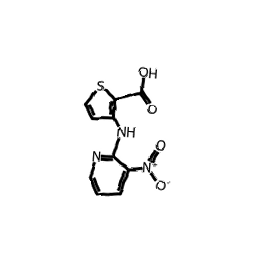 O=C(O)c1sccc1Nc1ncccc1[N+](=O)[O-]